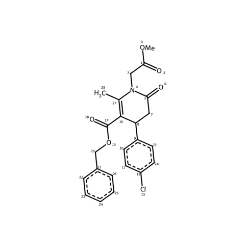 COC(=O)CN1C(=O)CC(c2ccc(Cl)cc2)C(C(=O)OCc2ccccc2)=C1C